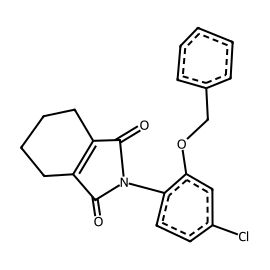 O=C1C2=C(CCCC2)C(=O)N1c1ccc(Cl)cc1OCc1ccccc1